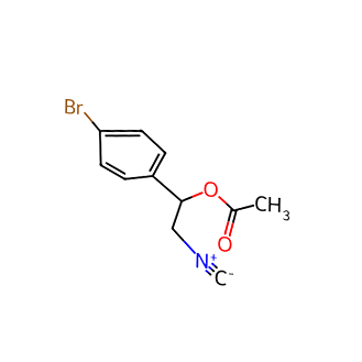 [C-]#[N+]CC(OC(C)=O)c1ccc(Br)cc1